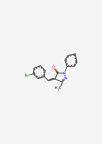 CC1=NN(c2ccccc2)C(=O)C1=Cc1cccc(Br)c1